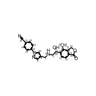 Cc1c([C@@H](O)CNCc2cnn(-c3ccc(C#N)cc3)c2)ccc2c1COC2=O